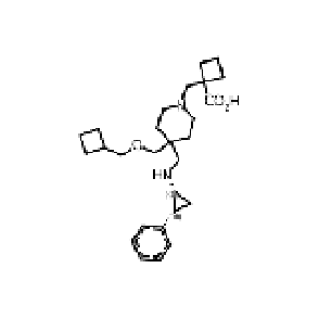 O=C(O)C1(CN2CCC(CN[C@@H]3C[C@@H]3c3ccccc3)(COCC3CCC3)CC2)CCC1